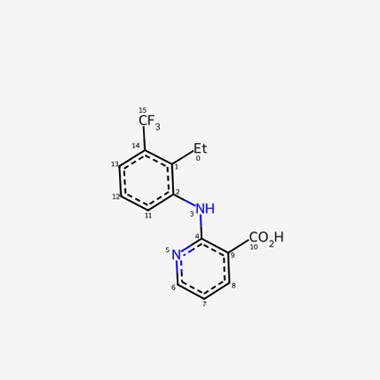 CCc1c(Nc2ncccc2C(=O)O)cccc1C(F)(F)F